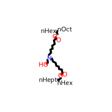 CCCCCCCCC(CCCCCC)COC(=O)CCCCCCCN(CCO)CCCCCCCC(=O)OCC(CCCCCC)CCCCCCC